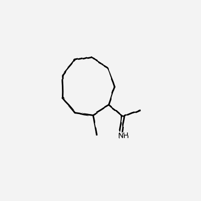 CC(=N)C1CCCCCCCC1C